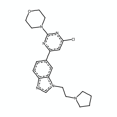 Clc1cc(-c2ccc3ncn(CCN4CCCC4)c3c2)nc(N2CCOCC2)n1